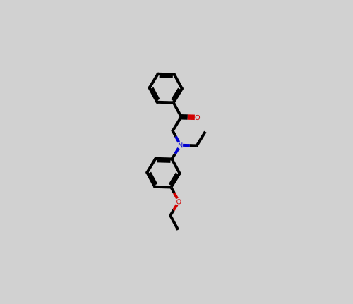 CCOc1cccc(N(CC)CC(=O)c2ccccc2)c1